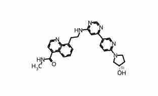 CNC(=O)c1ccnc2c(CCNc3cc(-c4ccc(N5CC[C@H](O)C5)nc4)ncn3)cccc12